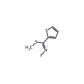 CS/C(=N\I)c1cccs1